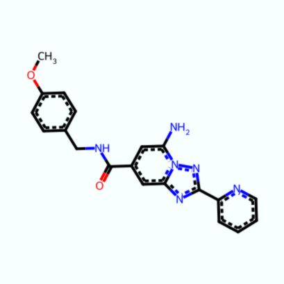 COc1ccc(CNC(=O)c2cc(N)n3nc(-c4ccccn4)nc3c2)cc1